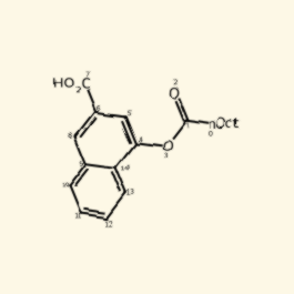 CCCCCCCCC(=O)Oc1cc(C(=O)O)cc2ccccc12